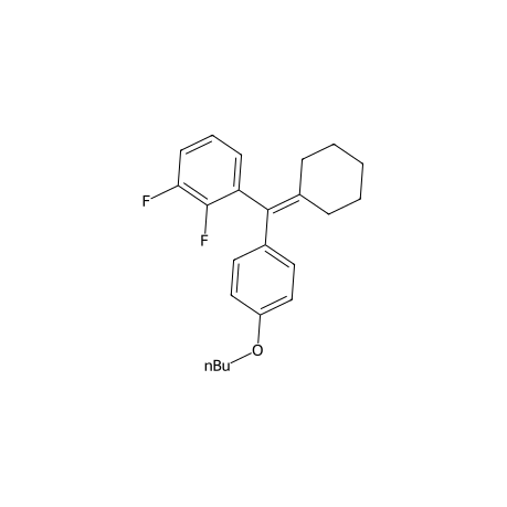 CCCCOc1ccc(C(=C2CCCCC2)c2cccc(F)c2F)cc1